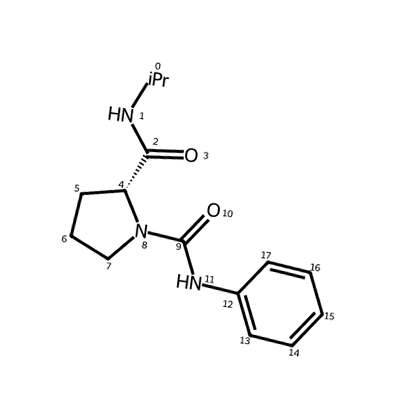 CC(C)NC(=O)[C@H]1CCCN1C(=O)Nc1ccccc1